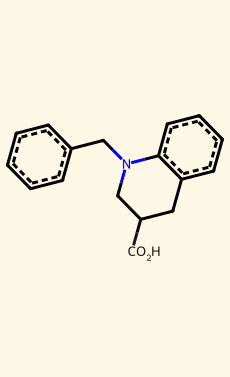 O=C(O)C1Cc2ccccc2N(Cc2ccccc2)C1